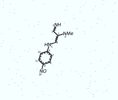 CN/C(C=N)=C/Nc1ccc(N=O)cc1